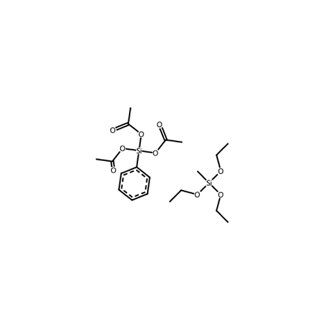 CC(=O)O[Si](OC(C)=O)(OC(C)=O)c1ccccc1.CCO[Si](C)(OCC)OCC